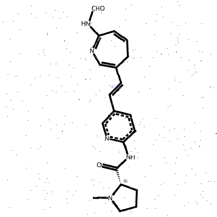 CN1CCC[C@H]1C(=O)Nc1ccc(/C=C/C2=CN=C(NC=O)C=CC2)cn1